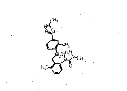 Cc1nnc(-c2ccc(OCc3c(C)cccc3N(N)C(=O)N(C)N)c(C)c2)o1